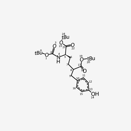 CC(C)(C)OC(=O)N[C@H](CCC(Cc1ccc(O)cc1)C(=O)OC(C)(C)C)C(=O)OC(C)(C)C